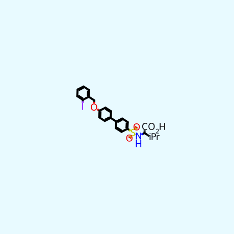 CC(C)C(NS(=O)(=O)c1ccc(-c2ccc(OCc3ccccc3I)cc2)cc1)C(=O)O